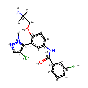 Cn1ncc(Br)c1-c1cc(NC(=O)c2cccc(F)c2)ccc1OCC(C)(C)N